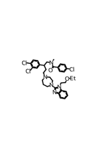 CCOCCn1c(N2CCCN(CCC(CN(C)C(=O)c3ccc(Cl)cc3)c3ccc(Cl)c(Cl)c3)CC2)nc2ccccc21